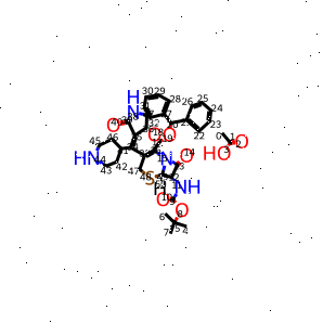 CC(=O)O.CC(C)(C)OC(=O)N[C@@H]1C(=O)N2C(C(=O)OC(c3ccccc3)c3ccccc3)=C(C(=C3CCNC3=O)C3CCNCC3)CS[C@H]12